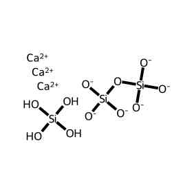 O[Si](O)(O)O.[Ca+2].[Ca+2].[Ca+2].[O-][Si]([O-])([O-])O[Si]([O-])([O-])[O-]